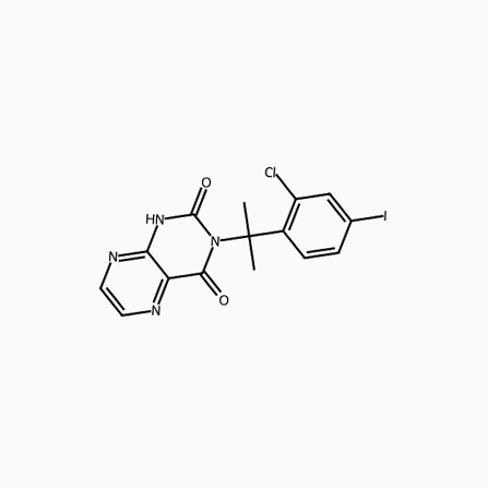 CC(C)(c1ccc(I)cc1Cl)n1c(=O)[nH]c2nccnc2c1=O